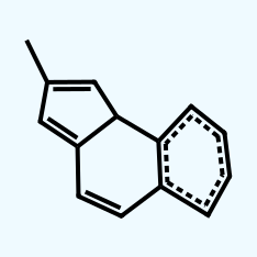 CC1=CC2C(=C1)C=Cc1ccccc12